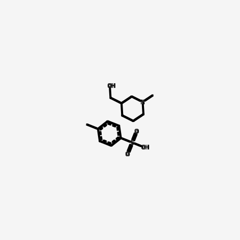 CN1CCCC(CO)C1.Cc1ccc(S(=O)(=O)O)cc1